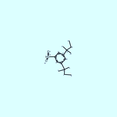 CCC(C)(C)c1cc([SH](=O)=O)cc(C(C)(C)CC)c1